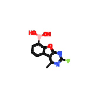 Cc1nc(F)nc2oc3c(B(O)O)cccc3c12